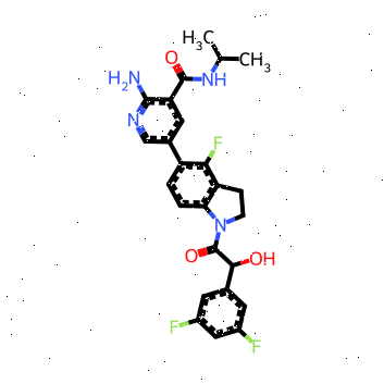 CC(C)NC(=O)c1cc(-c2ccc3c(c2F)CCN3C(=O)C(O)c2cc(F)cc(F)c2)cnc1N